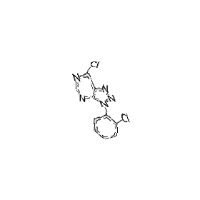 Clc1ccccc1-n1nnc2c(Cl)ncnc21